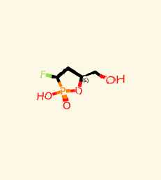 O=P1(O)O[C@H](CO)CC1F